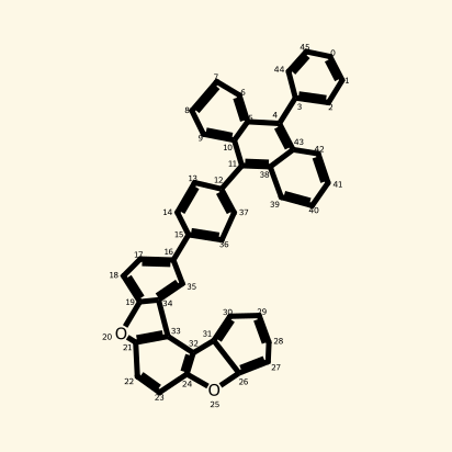 c1ccc(-c2c3ccccc3c(-c3ccc(-c4ccc5oc6ccc7oc8ccccc8c7c6c5c4)cc3)c3ccccc23)cc1